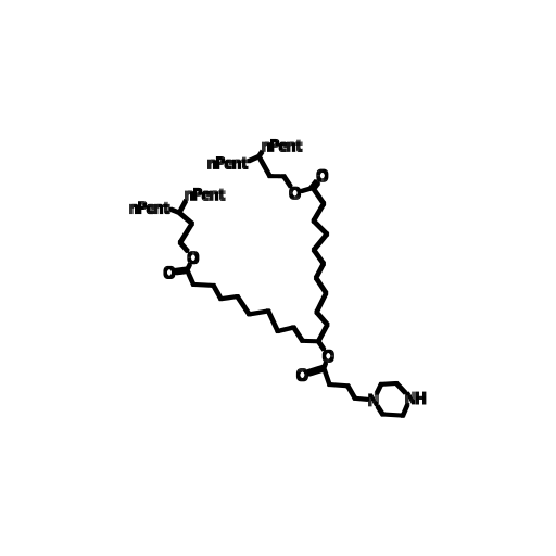 CCCCCC(CCCCC)CCOC(=O)CCCCCCCCCC(CCCCCCCCCC(=O)OCCC(CCCCC)CCCCC)OC(=O)CCCN1CCNCC1